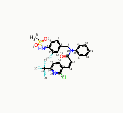 CS(=O)(=O)Nc1ccc(CN(C(=O)/C=C\c2ccc(C(F)(F)F)nc2Cl)c2ccccc2)cc1F